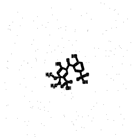 COC1(OC)C=C(O)C(C(=O)c2cc(S(=O)(=O)O)ccc2O)C=C1S(=O)(=O)O